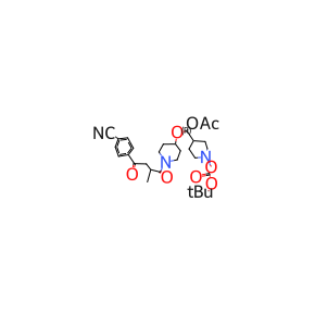 CC(=O)O[C@@H](OC1CCN(C(=O)C(C)CC(=O)c2ccc(C#N)cc2)CC1)C1CCN(OC(=O)OC(C)(C)C)CC1